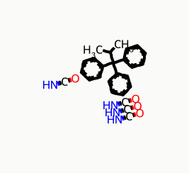 CC(C)C(c1ccccc1)(c1ccccc1)c1ccccc1.N=C=O.N=C=O.N=C=O.N=C=O